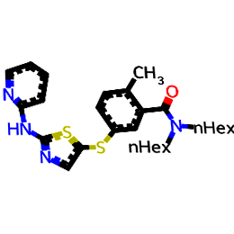 CCCCCCN(CCCCCC)C(=O)c1cc(Sc2cnc(Nc3ccccn3)s2)ccc1C